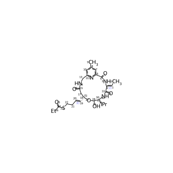 C/C=C1\NC(=O)c2cc(C)cc(n2)CNC(=O)C[C@@H](/C=C/CCSC(=O)CC)OC(O)[C@H](C(C)C)NC1=O